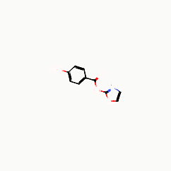 O=C(Oc1ncco1)c1ccc(O)cc1